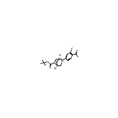 CC(=O)c1ccc(N2C[C@@H]3C[C@H]2CN3C(=O)OC(C)(C)C)cc1F